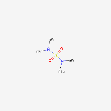 CCCCN(CCC)S(=O)(=O)N(CCC)CCC